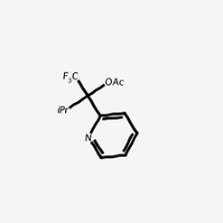 CC(=O)OC(c1ccccn1)(C(C)C)C(F)(F)F